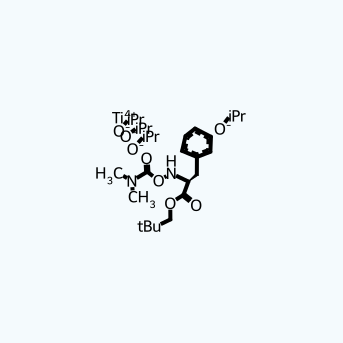 CC(C)[O-].CC(C)[O-].CC(C)[O-].CC(C)[O-].CN(C)C(=O)ON[C@@H](Cc1ccccc1)C(=O)OCC(C)(C)C.[Ti+4]